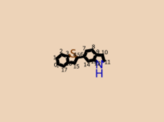 [c]1ccc2sc(-c3ccc4cc[nH]c4c3)cc2c1